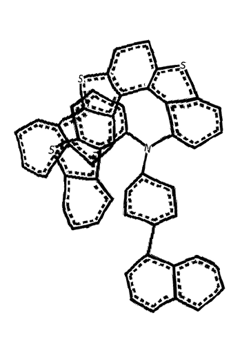 c1ccc2c(-c3ccc(N(c4cccc5sc6ccccc6c45)c4cccc5sc6ccc7sc8c9ccccc9ccc8c7c6c45)cc3)cccc2c1